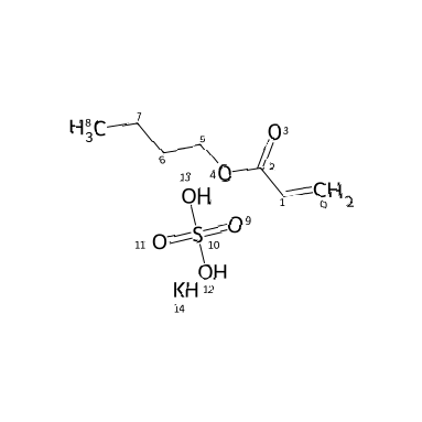 C=CC(=O)OCCCC.O=S(=O)(O)O.[KH]